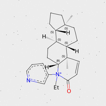 CC[N+]1(c2cccnc2)C(=O)C=C[C@@]2(C)[C@H]1CC[C@H]1[C@@H]3CCC[C@@]3(C)CC[C@@H]12